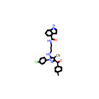 Cc1ccc(C(=O)c2nn(-c3ccc(Cl)cc3)c(NCCCNC(=O)c3cccc4[nH]ccc34)c2C#N)cc1